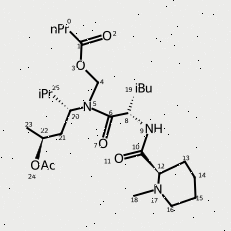 CCCC(=O)OCN(C(=O)[C@@H](NC(=O)[C@H]1CCCCN1C)[C@@H](C)CC)[C@H](C[C@H](C)OC(C)=O)C(C)C